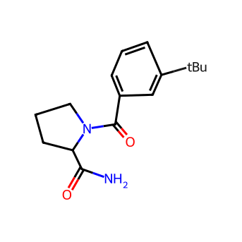 CC(C)(C)c1cccc(C(=O)N2CCCC2C(N)=O)c1